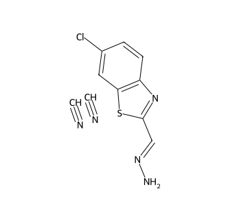 C#N.C#N.NN=Cc1nc2ccc(Cl)cc2s1